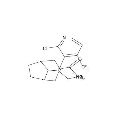 CC(C)C(=O)N1CC2CCC(C1)C2C(C[N+](=O)[O-])c1c(C(F)(F)F)ccnc1Cl